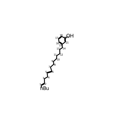 CCCC/C=C/CC/C=C/CCCCCCCCc1cccc(O)c1